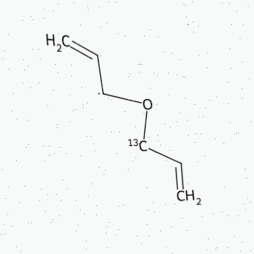 C=C[CH]O[13CH2]C=C